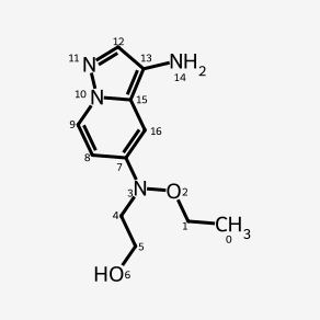 CCON(CCO)c1ccn2ncc(N)c2c1